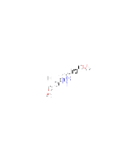 CC1=C(c2ccc(-c3ccc4oc5ccccc5c4c3)cc2)CNc2c1ccc1c(C)c(-c3ccc(-c4ccc5oc6ccccc6c5c4)cc3)cnc21